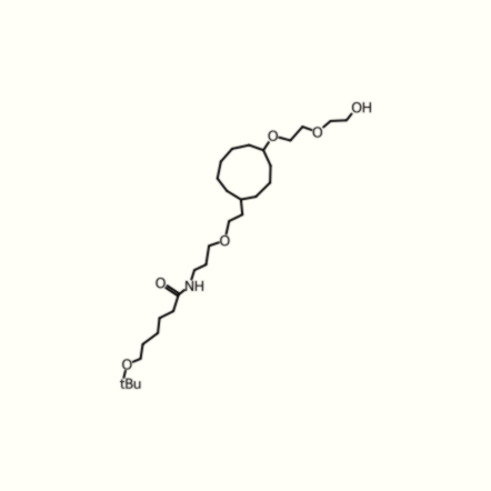 CC(C)(C)OCCCCCC(=O)NCCCOCCC1CCCCCC(OCCOCCO)CCC1